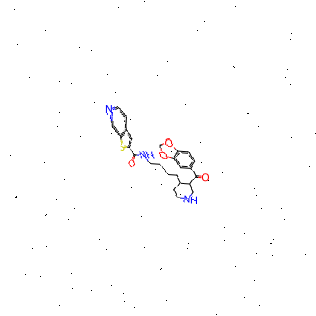 O=C(NCCCCC1CCNCC1C(=O)c1ccc2c(c1)OCO2)c1cc2ccncc2s1